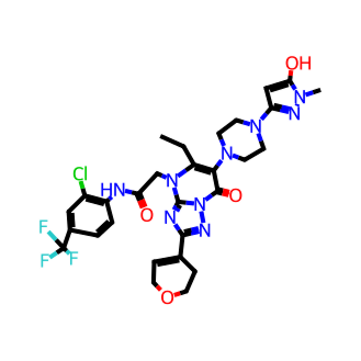 CCc1c(N2CCN(c3cc(O)n(C)n3)CC2)c(=O)n2nc(C3=CCOCC3)nc2n1CC(=O)Nc1ccc(C(F)(F)F)cc1Cl